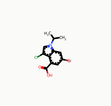 CC(C)n1cc(Cl)c2c(C(=O)O)cc(Br)cc21